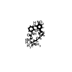 CC(C)(C)OC(=O)N[C@H]1CCC[C@@H](Nc2cc(-c3ncn(COCC[Si](C)(C)C)n3)ccc2[N+](=O)[O-])[C@@H]1O